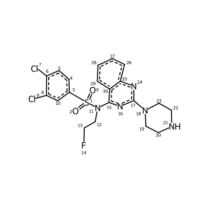 O=S(=O)(c1ccc(Cl)c(Cl)c1)N(CCF)c1nc(N2CCNCC2)nc2ccccc12